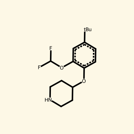 CC(C)(C)c1ccc(OC2CCNCC2)c(OC(F)F)c1